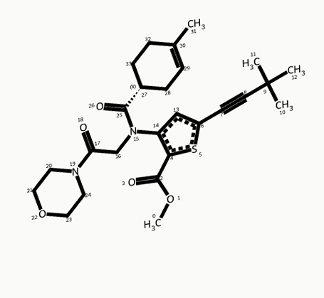 COC(=O)c1sc(C#CC(C)(C)C)cc1N(CC(=O)N1CCOCC1)C(=O)[C@H]1CC=C(C)CC1